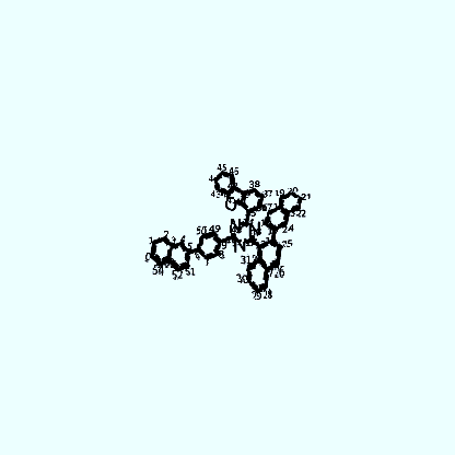 c1ccc2cc(-c3ccc(-c4nc(-c5c(-c6ccc7ccccc7c6)ccc6ccccc56)nc(-c5cccc6c5oc5ccccc56)n4)cc3)ccc2c1